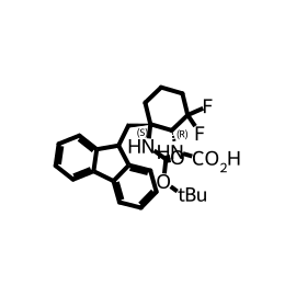 CC(C)(C)OC(=O)N[C@]1(CC2c3ccccc3-c3ccccc32)CCCC(F)(F)[C@@H]1NC(=O)O